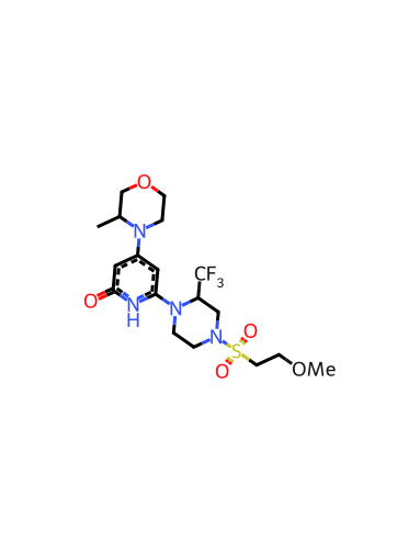 COCCS(=O)(=O)N1CCN(c2cc(N3CCOCC3C)cc(=O)[nH]2)C(C(F)(F)F)C1